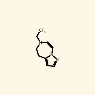 FC(F)(F)CN1C=Cn2nccc2CC1